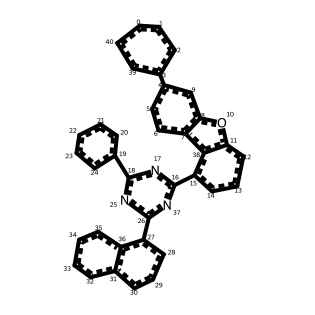 c1ccc(-c2ccc3c(c2)oc2cccc(-c4nc(-c5ccccc5)nc(-c5cccc6ccccc56)n4)c23)cc1